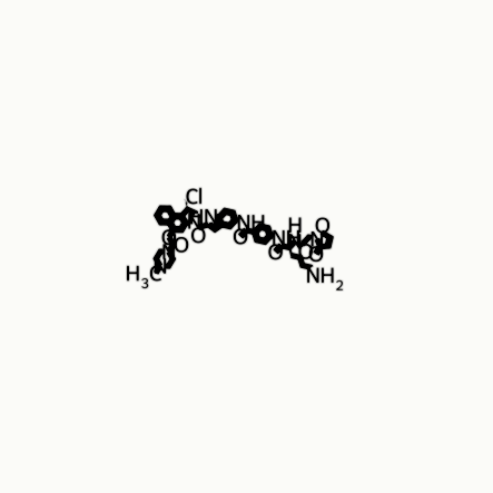 CN1CCN(C(=O)Oc2cc3c(c4ccccc24)[C@H](CCl)CN3C(=O)c2cc3cc(NC(=O)c4ccc(NC(=O)[C@H](CCCCN)NC(=O)CN5C(=O)C=CC5=O)cc4)ccc3[nH]2)CC1